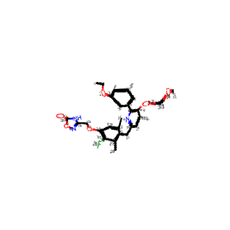 CCOc1cccc(-c2nc(Cc3c(C)cc(OCc4noc(=O)[nH]4)c(F)c3C)ccc2OCOC)c1